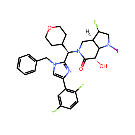 O=C1[C@@H](O)C2[C@@H](CN1[C@@H](c1nc(-c3cc(F)ccc3F)cn1Cc1ccccc1)C1CCOCC1)[C@@H](F)CN2I